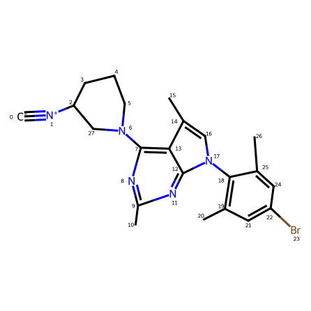 [C-]#[N+]C1CCCN(c2nc(C)nc3c2c(C)cn3-c2c(C)cc(Br)cc2C)C1